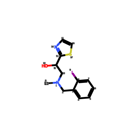 CCN(Cc1ccccc1I)CC(O)c1nccs1